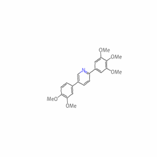 COc1ccc(-c2ccc(-c3cc(OC)c(OC)c(OC)c3)nc2)cc1OC